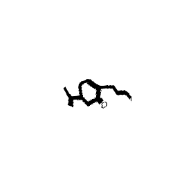 C=C(C)C1CC=C(CC=CI)C(=O)C1